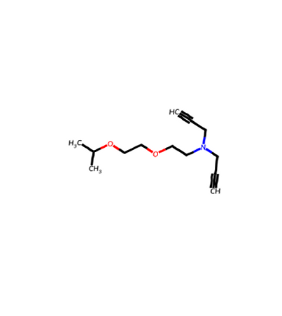 C#CCN(CC#C)CCOCCOC(C)C